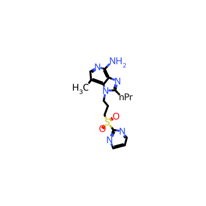 CCCc1nc2c(N)ncc(C)c2n1CCCS(=O)(=O)c1ncccn1